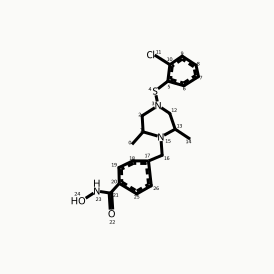 CC1CN(Sc2ccccc2Cl)CC(C)N1Cc1ccc(C(=O)NO)cc1